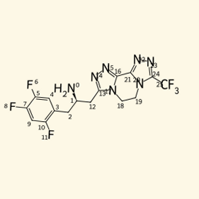 N[C@H](Cc1cc(F)c(F)cc1F)Cc1nnc2n1CCn1c-2nnc1C(F)(F)F